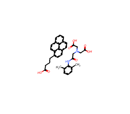 Cc1cccc(C)c1NC(=O)CN(CC(=O)O)CC(=O)O.O=C(O)CCCc1ccc2ccc3cccc4ccc1c2c34